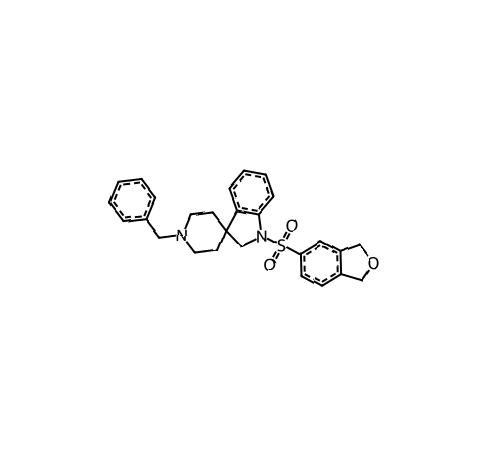 O=S(=O)(c1ccc2c(c1)COC2)N1CC2(CCN(Cc3ccccc3)CC2)c2ccccc21